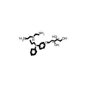 CCCP(c1ccccc1)c1ccccc1.NCCNCCN.O=CC[C@H](O)[C@H](O)CO